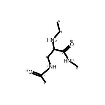 CCNC(CNC(C)=O)C(=O)NC